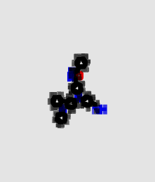 N=Cc1ccc(N(c2ccc(-c3nnc(-c4ccccc4)o3)cc2)c2ccc3c(c2)c2ccccc2n3-c2ccccc2)cc1